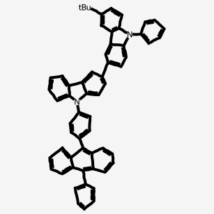 CC(C)(C)c1ccc2c(c1)c1cc(-c3ccc4c(c3)c3ccccc3n4-c3ccc(-c4c5ccccc5c(-c5ccccc5)c5ccccc45)cc3)ccc1n2-c1ccccc1